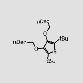 CCCCCCCCCCCOc1c(C(C)(C)C)sc(C(C)(C)C)c1OCCCCCCCCCCC